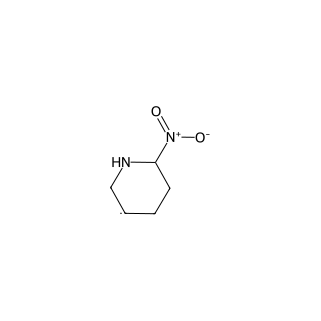 O=[N+]([O-])C1CC[CH]CN1